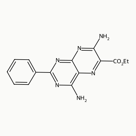 CCOC(=O)c1nc2c(N)nc(-c3ccccc3)nc2nc1N